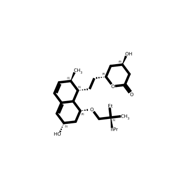 CCC[C@](C)(CC)CO[C@@H]1C[C@H](O)C=C2C=C[C@@H](C)[C@H](CC[C@@H]3C[C@@H](O)CC(=O)O3)C21